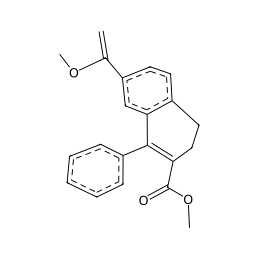 C=C(OC)c1ccc2c(c1)C(c1ccccc1)=C(C(=O)OC)CC2